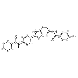 O=C(Nc1ccc2[nH]c(-c3ccc(NC(=O)C4CCCCC4)cc3)cc2c1)c1ccc(F)cc1